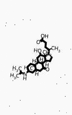 CC(C)NC1CC[C@@]2(C)[C@H](CC(=O)[C@@H]3[C@@H]2CC(O)[C@]2(C)[C@@H]([C@H](C)CCC(=O)O)CC[C@@H]32)C1